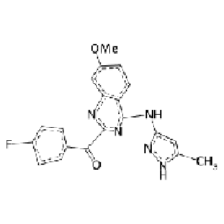 COc1ccc2c(Nc3cc(C)[nH]n3)nc(C(=O)c3ccc(F)cc3)nc2c1